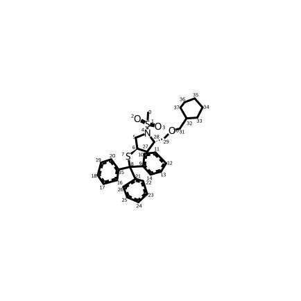 CS(=O)(=O)N1C[C@H](SC(c2ccccc2)(c2ccccc2)c2ccccc2)C[C@H]1COCC1CCCCC1